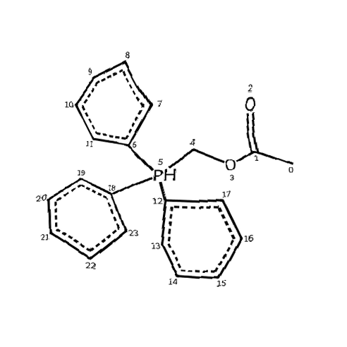 CC(=O)OC[PH](c1ccccc1)(c1ccccc1)c1ccccc1